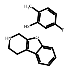 Cc1ccc(F)cc1S.c1ccc2c3c(oc2c1)CNCC3